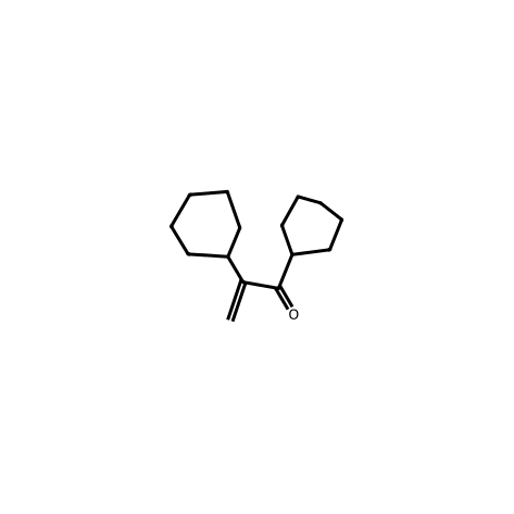 C=C(C(=O)C1CCCCC1)C1CCCCC1